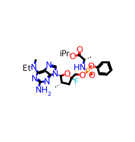 CCN(C)c1nc(N)nc2c1ncn2[C@@H]1O[C@](F)(CO[P@](=O)(N[C@@H](C)C(=O)OC(C)C)Oc2ccccc2)C[C@@H]1C